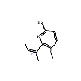 C/C=C(/C)c1nc(C(C)(C)C)ccc1C